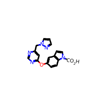 O=C(O)n1ccc2cc(Oc3cc(Cn4cccn4)ncn3)ccc21